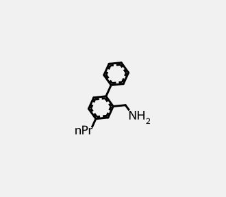 CCCc1ccc(-c2ccccc2)c(CN)c1